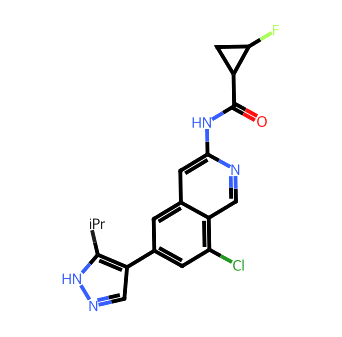 CC(C)c1[nH]ncc1-c1cc(Cl)c2cnc(NC(=O)C3CC3F)cc2c1